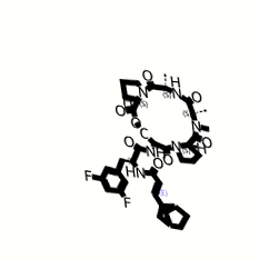 C[C@@H]1NC(=O)[C@H](C)N(C)C(=O)[C@@H]2CCCN2C(=O)[C@@H](NC(=O)[C@H](Cc2cc(F)cc(F)c2)NC(=O)/C=C/C2CC3CCC2C3)COC(=O)[C@@H]2CCCN2C1=O